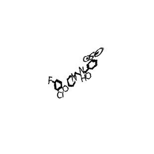 CS(=O)(=O)c1cccc(C(=O)NCCN2CCC(Oc3ccc(F)cc3Cl)CC2)c1